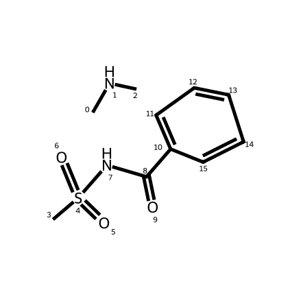 CNC.CS(=O)(=O)NC(=O)c1ccccc1